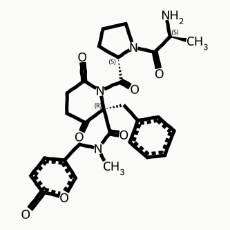 C[C@H](N)C(=O)N1CCC[C@H]1C(=O)N1C(=O)CCC(=O)[C@]1(Cc1ccccc1)C(=O)N(C)Cc1ccc(=O)oc1